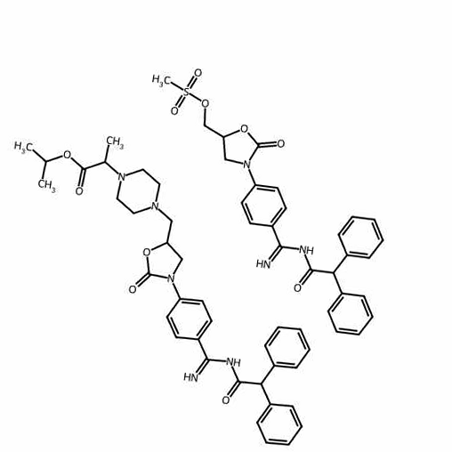 CC(C)OC(=O)C(C)N1CCN(CC2CN(c3ccc(C(=N)NC(=O)C(c4ccccc4)c4ccccc4)cc3)C(=O)O2)CC1.CS(=O)(=O)OCC1CN(c2ccc(C(=N)NC(=O)C(c3ccccc3)c3ccccc3)cc2)C(=O)O1